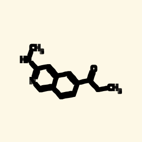 CCC(=O)c1ccc2cnc(NC)cc2c1